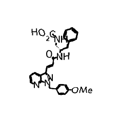 COc1ccc(Cn2nc(C=CC(=O)N[C@H](CNC(=O)O)Cc3ccccc3)c3cccnc32)cc1